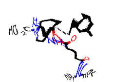 CCCN(CCC)C(=O)CCCC(=O)O[C@]1(CCc2cccc(C)c2)CCC[C@@]2(N)N(C(=O)O)CC[C@@]12N